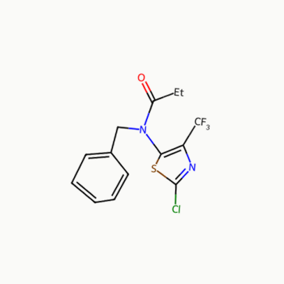 CCC(=O)N(Cc1ccccc1)c1sc(Cl)nc1C(F)(F)F